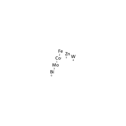 [Bi].[Co].[Fe].[Mo].[W].[Zn]